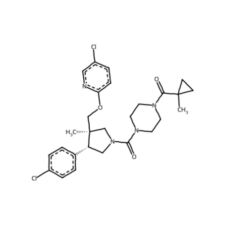 CC1(C(=O)N2CCN(C(=O)N3C[C@H](c4ccc(Cl)cc4)[C@@](C)(COc4ccc(Cl)cn4)C3)CC2)CC1